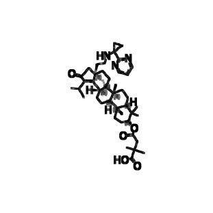 CC(C)C1=C2[C@H]3CC[C@@H]4[C@@]5(C)CC[C@H](OC(=O)CC(C)(C)C(=O)O)C(C)(C)[C@@H]5CC[C@@]4(C)[C@]3(C)CC[C@@]2(CCNC2(c3ncccn3)CC2)CC1=O